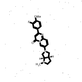 COc1ccc(-c2cc(=O)n3cc(N4C[C@@H]5CCN(C)[C@@H]5C4)ccc3n2)cc1F